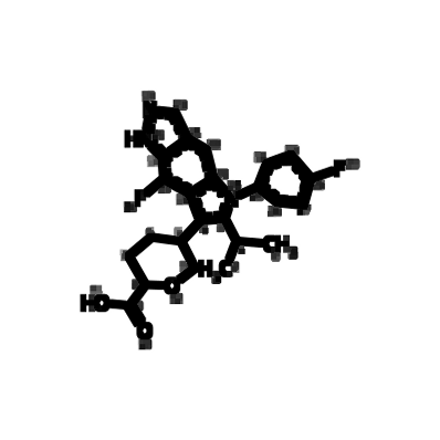 CC(C)c1c(C2CCC(C(=O)O)OC2)c2c(F)c3[nH]ncc3cc2n1-c1ccc(F)cc1